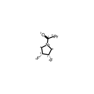 CC(C)C(=O)N1C[C@@H](F)[C@@H](F)C1